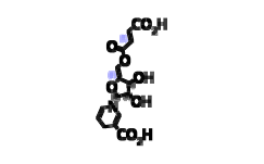 O=C(O)/C=C/C(=O)O/C=C1/O[C@@H](N2C=CCC(C(=O)O)=C2)[C@H](O)[C@@H]1O